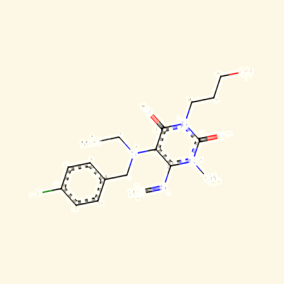 C=Nc1c(N(COC)Cc2ccc(F)cc2)c(=O)n(CCCO)c(=O)n1C